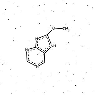 COc1nc2ncncc2[nH]1